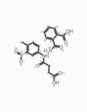 Cc1ccc(NC(=O)CCC(=O)O)cc1[N+](=O)[O-].NC(=O)c1ccccc1C(=O)O